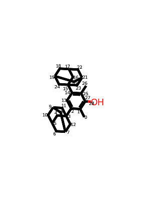 Cc1c(C23CC4CC(CC(C4)C2)C3)cc(C23CC4CC(CC(C4)C2)C3)c(C)c1O